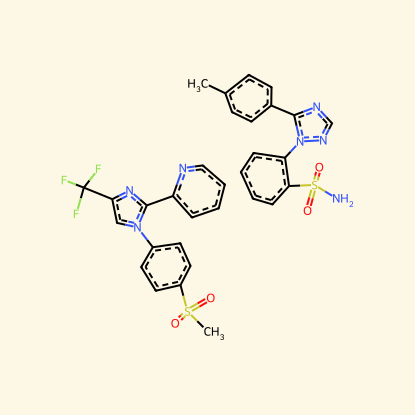 CS(=O)(=O)c1ccc(-n2cc(C(F)(F)F)nc2-c2ccccn2)cc1.Cc1ccc(-c2ncnn2-c2ccccc2S(N)(=O)=O)cc1